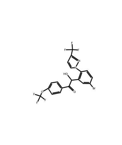 O=C(c1ccc(OC(F)(F)F)cc1)C(O)c1cc(Br)ccc1-n1ccc(C(F)(F)F)n1